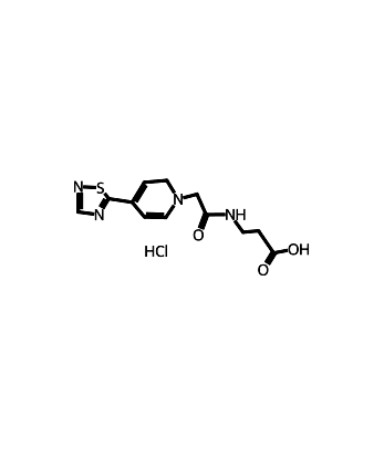 Cl.O=C(O)CCNC(=O)CN1C=CC(c2ncns2)=CC1